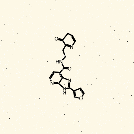 O=C1CC=CN=C1CCNC(=O)c1ccnc2[nH]c(-c3ccoc3)nc12